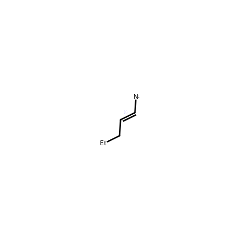 CCC/C=C/[N]